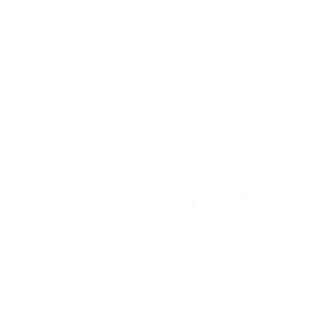 Nc1cc(NC(=O)OCc2ccccc2)ccc1C(CO)CO